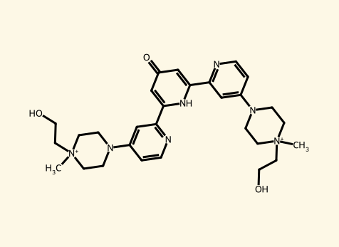 C[N+]1(CCO)CCN(c2ccnc(-c3cc(=O)cc(-c4cc(N5CC[N+](C)(CCO)CC5)ccn4)[nH]3)c2)CC1